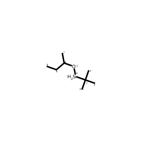 [CH2]C(C)(C)[SiH2]OC(C)CC